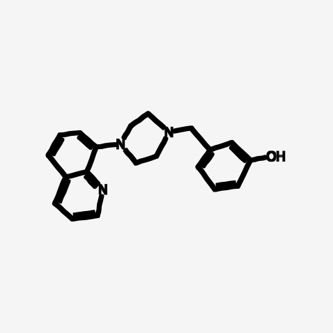 Oc1cccc(CN2CCN(c3cccc4cccnc34)CC2)c1